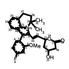 COc1cc(F)ccc1-c1c(C=CC2CC(O)CC(=O)O2)n2c3c(cccc13)CCC2(C)C